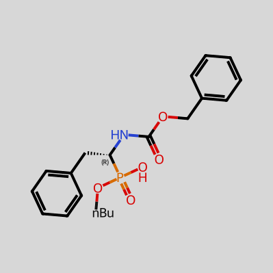 CCCCOP(=O)(O)[C@H](Cc1ccccc1)NC(=O)OCc1ccccc1